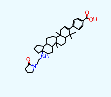 CC1(C)C(c2ccc(C(=O)O)cc2)=CCC2(C)C1CCC1(C)C3CCC4(NCCN5CCCC5=O)CCCC4C3CCC12